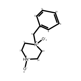 [O-][NH+]1CC[N+]([O-])(Cc2ccccc2)CC1